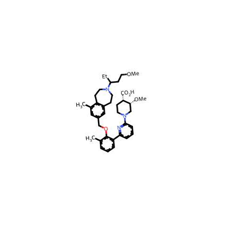 CCC(CCOC)N1CCc2cc(COc3c(C)cccc3-c3cccc(N4CC[C@H](C(=O)O)[C@H](OC)C4)n3)cc(C)c2CC1